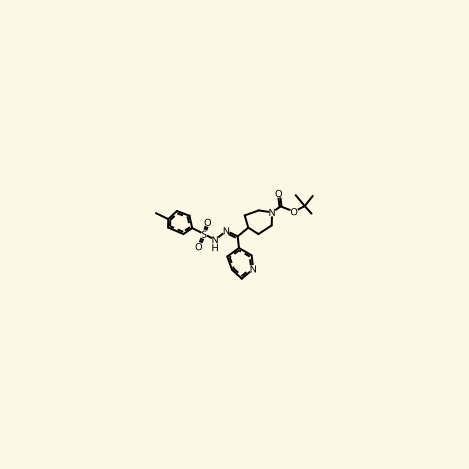 Cc1ccc(S(=O)(=O)NN=C(c2cccnc2)C2CCN(C(=O)OC(C)(C)C)CC2)cc1